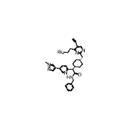 C#Cc1cnc(C[C@H]2CC[C@H](C(C(=O)NCc3ccccc3)c3ccc(-c4cnn(C)c4)cn3)CC2)nc1CCC(C)CC